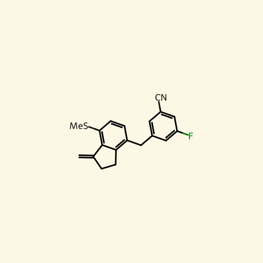 C=C1CCc2c(Cc3cc(F)cc(C#N)c3)ccc(SC)c21